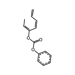 C=C/C=C\C(=C/C)OC(=O)Oc1ccccc1